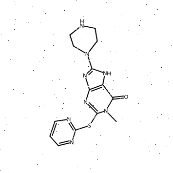 Cn1c(Sc2ncccn2)nc2nc(N3CCNCC3)[nH]c2c1=O